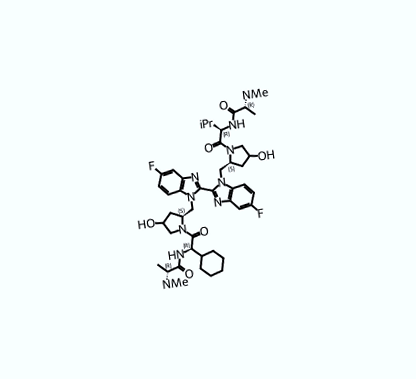 CN[C@H](C)C(=O)N[C@@H](C(=O)N1CC(O)C[C@H]1Cn1c(-c2nc3cc(F)ccc3n2C[C@@H]2CC(O)CN2C(=O)[C@H](NC(=O)[C@@H](C)NC)C2CCCCC2)nc2cc(F)ccc21)C(C)C